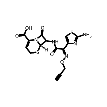 C#CCO/N=C(\C(=O)NC1C(=O)N2C(C(=O)O)=CCS[C@@H]12)c1csc(N)n1